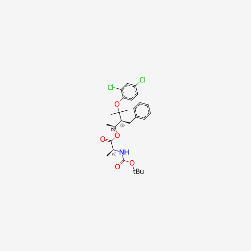 C[C@H](NC(=O)OC(C)(C)C)C(=O)O[C@@H](C)[C@H](Cc1ccccc1)C(C)(C)Oc1ccc(Cl)cc1Cl